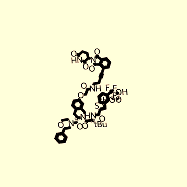 CC(C)(C)[C@H](NC(=O)c1cc2cc(C(F)(F)P(=O)(O)O)ccc2s1)C(=O)N1Cc2cc(OCC(=O)NCCC#Cc3cccc4c3C(=O)N(C3CCC(=O)NC3=O)C4=O)ccc2C[C@H]1C(=O)N1CCOC(c2ccccc2)C1